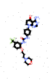 Nc1ncnc2c1c(=O)ccn2-c1ccc(NC(=O)Nc2cc(C(F)(F)F)ccc2OCCCN2CCOCC2)cc1